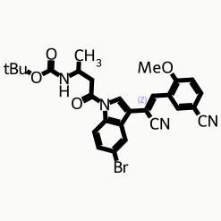 COc1ccc(C#N)cc1/C=C(\C#N)c1cn(C(=O)CC(C)NC(=O)OC(C)(C)C)c2ccc(Br)cc12